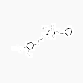 CC(C)[C@H](NC(=O)OCc1ccccc1)C(=O)OCCOc1ccc(C(=O)O)c(CI)c1